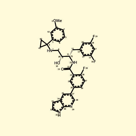 COc1cccc(C2(NC[C@@H](O)[C@H](Cc3cc(F)cc(F)c3)NC(=O)c3cc(-c4cnc5[nH]ccc5c4)ccc3F)CC2)c1